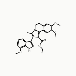 CCOC(=O)c1c(-c2c[nH]c3c(OC)cccc23)c(C)n2c1-c1cc(OC)c(OC)cc1CC2